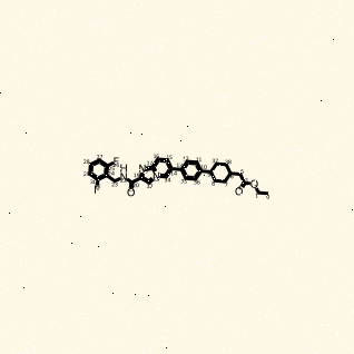 CCOC(=O)CC1CCC(c2ccc(-c3ccc4nc(C(=O)NCc5c(F)cccc5F)cn4c3)cc2)CC1